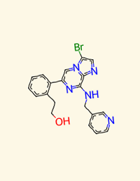 OCCc1ccccc1-c1cn2c(Br)cnc2c(NCc2cccnc2)n1